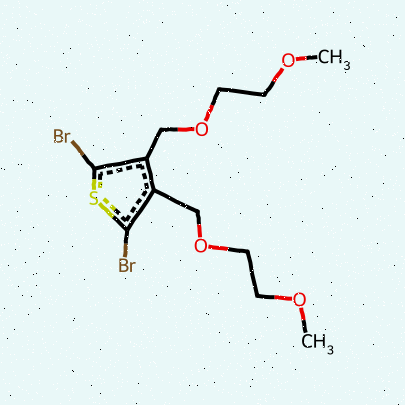 COCCOCc1c(Br)sc(Br)c1COCCOC